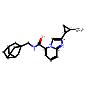 O=C(NCC12CC3CC(C1)C(C3)C2)c1cccc2nc(C3CC3C(=O)O)cn12